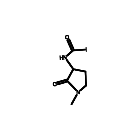 CN1CCC(NC(=O)I)C1=O